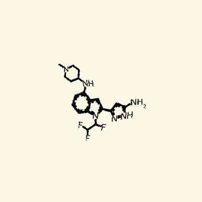 CN1CCC(Nc2cccc3c2cc(-c2cc(N)[nH]n2)n3C(F)C(F)F)CC1